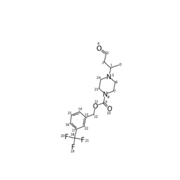 CC(C[C]=O)N1CCN(C(=O)OCc2cccc(C(F)(F)F)c2)CC1